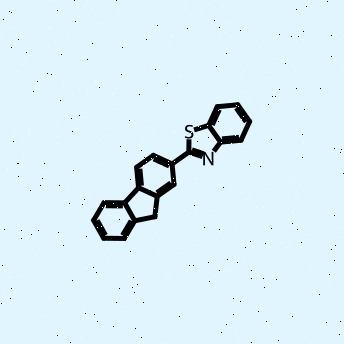 c1ccc2c(c1)Cc1cc(-c3nc4ccccc4s3)ccc1-2